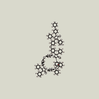 O=C1C(c2ccc(-c3ccccc3)cc2)=C(c2ccccc2)C(c2ccc(Oc3ccc(C4=C(c5ccccc5)C(=O)C5=C4c4ccc(cc4)Oc4ccc(cc4)C4=C(C(=O)C(c6ccccc6)=C4c4ccccc4)c4ccc(cc4)C(Cc4ccccc4)(c4ccccc4)c4ccc5cc4)cc3)cc2)=C1c1ccccc1